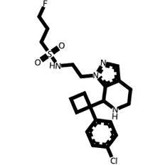 O=S(=O)(CCCF)NCCn1ncc2c1C(C1(c3ccc(Cl)cc3)CCC1)NCC2